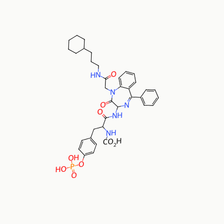 O=C(O)NC(Cc1ccc(OP(=O)(O)O)cc1)C(=O)NC1N=C(c2ccccc2)c2ccccc2N(CC(=O)NCCCC2CCCCC2)C1=O